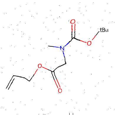 C=CCOC(=O)CN(C)C(=O)OC(C)(C)C